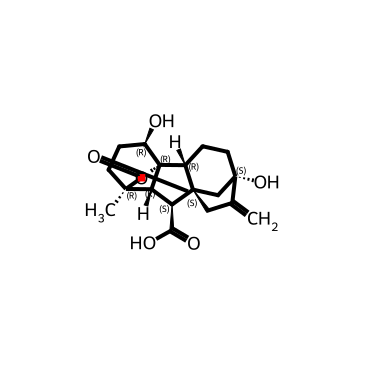 C=C1C[C@]23C[C@@]1(O)CC[C@H]2[C@]12OC(=O)[C@](C)(CC[C@H]1O)[C@H]2[C@@H]3C(=O)O